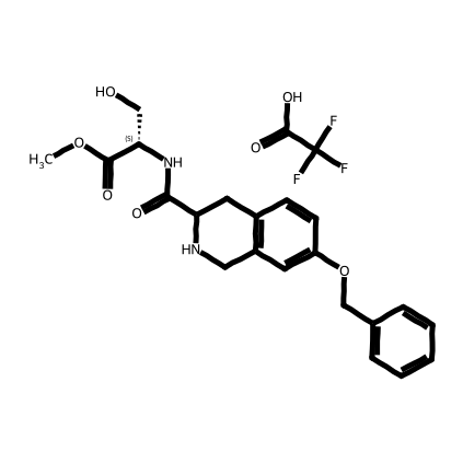 COC(=O)[C@H](CO)NC(=O)C1Cc2ccc(OCc3ccccc3)cc2CN1.O=C(O)C(F)(F)F